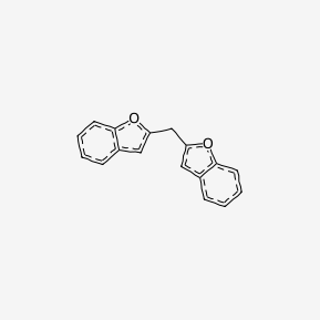 c1ccc2oc(Cc3cc4ccccc4o3)cc2c1